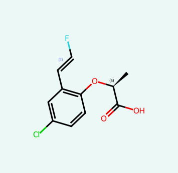 C[C@H](Oc1ccc(Cl)cc1/C=C/F)C(=O)O